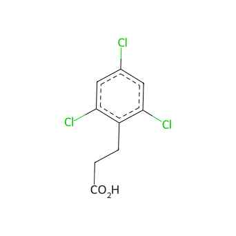 O=C(O)CCc1c(Cl)cc(Cl)cc1Cl